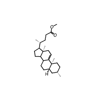 COC(=O)CC[C@@H](C)C1CCC2C3CC[C@H]4C[C@@H](C)CC[C@]4(C)C3=CC[C@@]21C